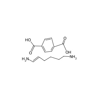 NC=CCCCCN.O=C(O)c1ccc(C(=O)O)cc1